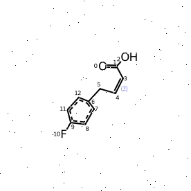 O=C(O)/C=C\Cc1ccc(F)cc1